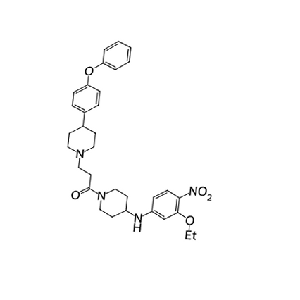 CCOc1cc(NC2CCN(C(=O)CCN3CCC(c4ccc(Oc5ccccc5)cc4)CC3)CC2)ccc1[N+](=O)[O-]